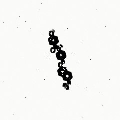 COc1ccc(C(=O)N(C)c2ccc(COc3ccc4c(c3)CCC(CN(C)C)C4)cc2)cc1